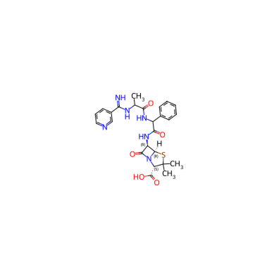 CC(NC(=N)c1cccnc1)C(=O)NC(C(=O)N[C@@H]1C(=O)N2[C@@H]1SC(C)(C)[C@@H]2C(=O)O)c1ccccc1